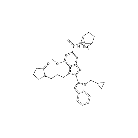 COc1cc(C(=O)N2CC3CCC2[C@@H]3N)cc2nc(-c3cc4ccccc4n3CC3CC3)n(CCCN3CCCC3=O)c12